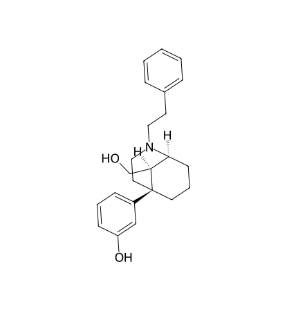 OC[C@H]1[C@@H]2CCC[C@]1(c1cccc(O)c1)CCN2CCc1ccccc1